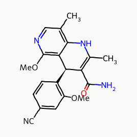 COc1cc(C#N)ccc1[C@@H]1C(C(N)=O)=C(C)Nc2c(C)cnc(OC)c21